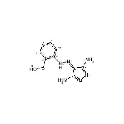 NC1=NN=C(N)C1=NNc1ccccc1CO